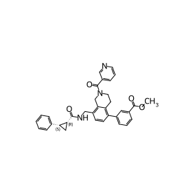 COC(=O)c1cccc(-c2ccc(CNC(=O)[C@@H]3C[C@@H]3c3ccccc3)c3c2CCN(C(=O)c2cccnc2)C3)c1